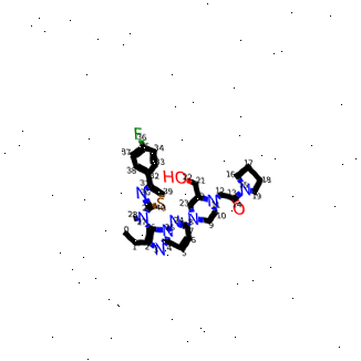 CCc1nc2ccc(N3CCN(CC(=O)N4CCCC4)C(CO)C3)nn2c1N(C)c1nc(-c2ccc(F)cc2)cs1